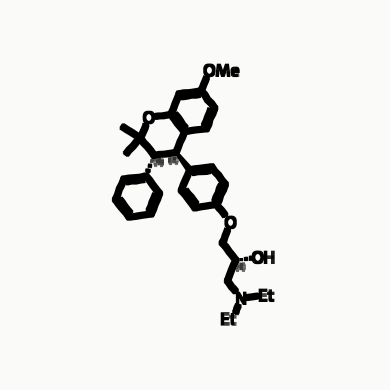 CCN(CC)C[C@@H](O)COc1ccc([C@@H]2c3ccc(OC)cc3OC(C)(C)[C@H]2c2ccccc2)cc1